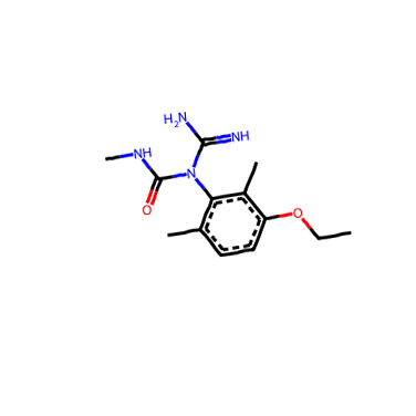 CCOc1ccc(C)c(N(C(=N)N)C(=O)NC)c1C